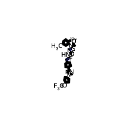 Cc1ccc(C(C)C)c(N2C(=O)CS/C2=N\C(=O)N/C(F)=C/c2ccc(-c3ncn(-c4ccc(OC(F)(F)F)cc4)n3)cc2)c1